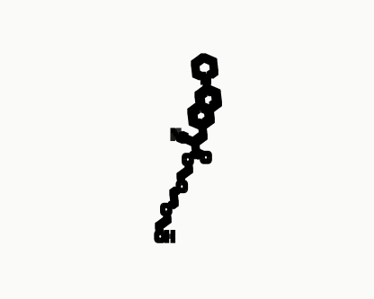 N#C/C(=C\c1ccc2cc(N3CCCCC3)ccc2c1)C(=O)OCCOCCOCCO